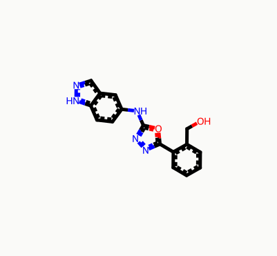 OCc1ccccc1-c1nnc(Nc2ccc3[nH]ncc3c2)o1